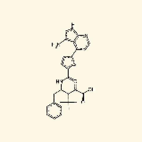 CC(C)(C)C(NC(=O)O)C(Cc1ccccc1)NC(=O)c1ccc(-c2ccnc3[nH]cc(N)c23)s1